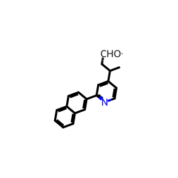 CC(C[C]=O)c1ccnc(-c2ccc3ccccc3c2)c1